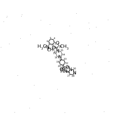 CC(Oc1cccc(N(C)C)c1)C(=O)N1CCN(c2ccc(S(=O)(=O)Nc3ccncn3)cc2)CC1